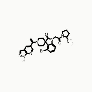 C=C(c1cnc2[nH]ncc2c1)N1CCC2(CC1)C(=O)N(CC(=O)N1CCCC1C(F)(F)F)c1cccc(Br)c12